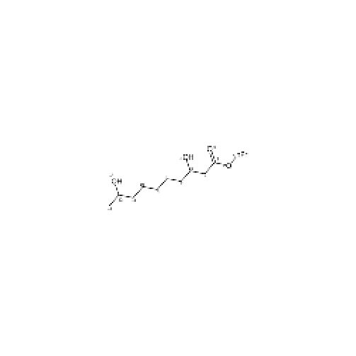 CCCOC(=O)CC(O)CCCCCC(C)O